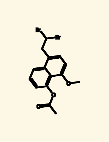 COc1ccc(CC(Br)Br)c2cccc(OC(C)=O)c12